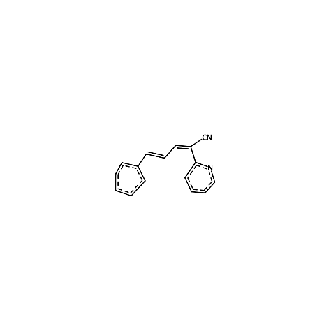 N#CC(=CC=Cc1ccccc1)c1ccccn1